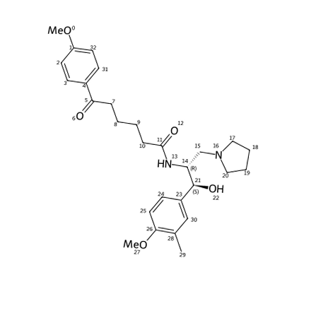 COc1ccc(C(=O)CCCCC(=O)N[C@H](CN2CCCC2)[C@@H](O)c2ccc(OC)c(C)c2)cc1